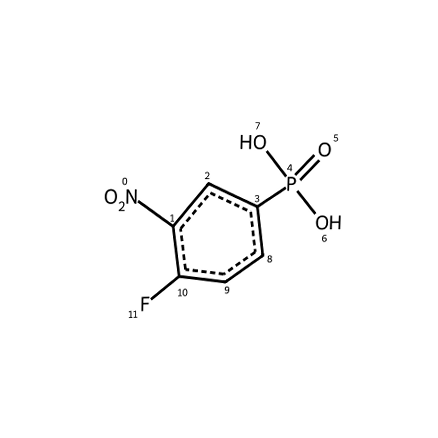 O=[N+]([O-])c1cc(P(=O)(O)O)ccc1F